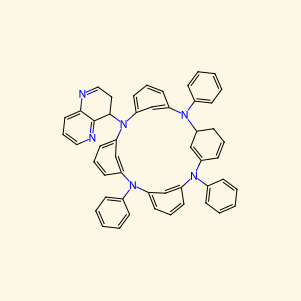 C1=CC2=CC(C1)N(c1ccccc1)c1cccc(c1)N(C1CC=Nc3cccnc31)c1cccc(c1)N(c1ccccc1)c1cccc(c1)N2c1ccccc1